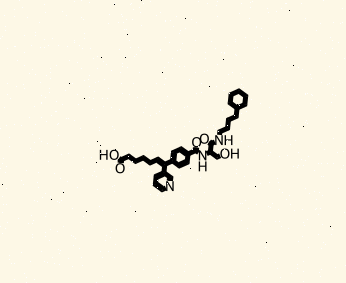 O=C(O)CCCCC=C(c1ccc(C(=O)NC(CO)C(=O)NCCCCC2CCCCC2)cc1)c1cccnc1